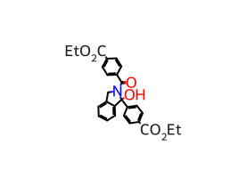 CCOC(=O)c1ccc(C(=O)N2Cc3ccccc3C2(O)c2ccc(C(=O)OCC)cc2)cc1